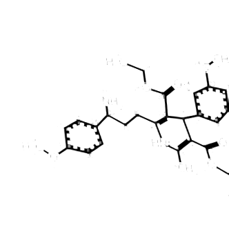 CCOC(=O)C1=C(C)NC(CCC(N)c2ccc(OC)cc2)=C(C(=O)OCC)C1c1cccc(SC)c1